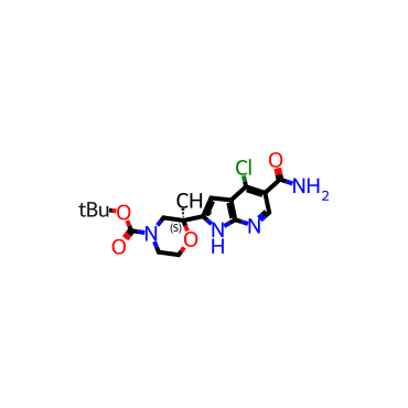 CC(C)(C)OC(=O)N1CCO[C@](C)(c2cc3c(Cl)c(C(N)=O)cnc3[nH]2)C1